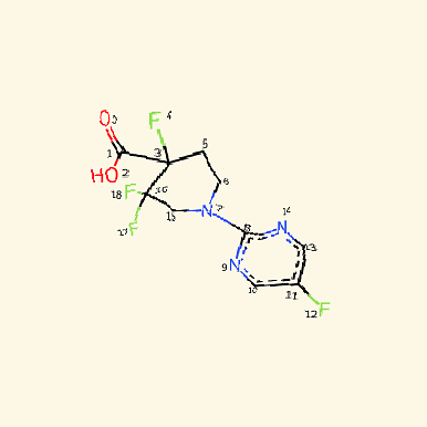 O=C(O)C1(F)CCN(c2ncc(F)cn2)CC1(F)F